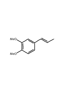 [CH2]C=Cc1ccc(OC)c(OC)c1